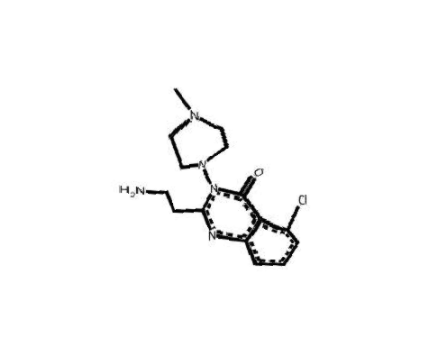 CN1CCN(n2c(CCN)nc3cccc(Cl)c3c2=O)CC1